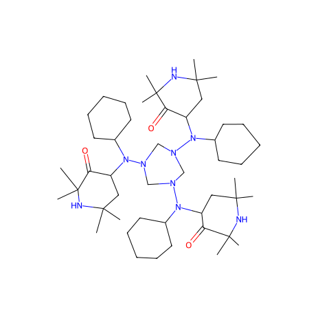 CC1(C)CC(N(C2CCCCC2)N2CN(N(C3CCCCC3)C3CC(C)(C)NC(C)(C)C3=O)CN(N(C3CCCCC3)C3CC(C)(C)NC(C)(C)C3=O)C2)C(=O)C(C)(C)N1